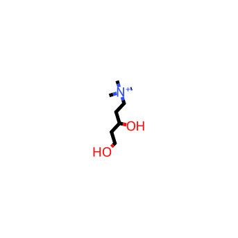 C[N+](C)(C)CCC(O)CCO